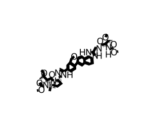 CC[C@H]1CC[C@@H](c2ncc(-c3ccc4c(c3)COc3cc5c(ccc6nc(CNC(=O)[C@@H](NC(=O)OC)[C@@H](C)OC)[nH]c65)cc3-4)[nH]2)N1C(=O)[C@@H](NC(=O)OC)[C@@H](C)OC